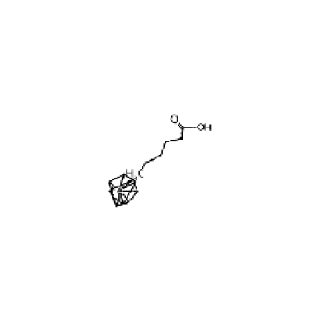 CCCCCC(=O)O.[CH]12[CH]3[CH]4[CH]5[CH]1[Fe]23451678[CH]2[CH]1[CH]6[CH]7[CH]28